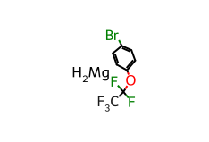 FC(F)(F)C(F)(F)Oc1ccc(Br)cc1.[MgH2]